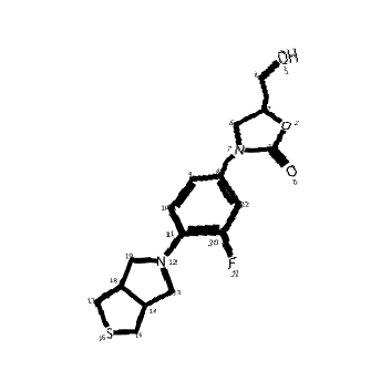 O=C1OC(CO)CN1c1ccc(N2CC3CSCC3C2)c(F)c1